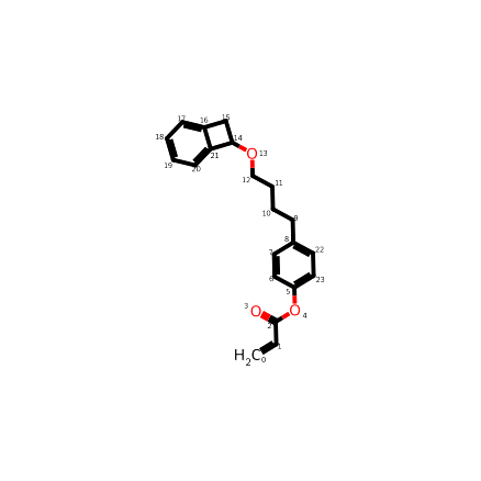 C=CC(=O)Oc1ccc(CCCCOC2Cc3ccccc32)cc1